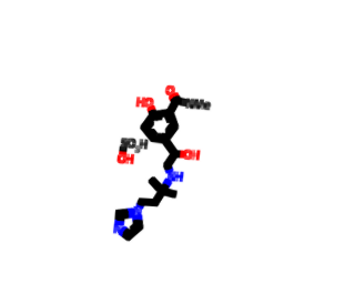 CNC(=O)c1cc(C(O)CNC(C)(C)CCn2ccnc2)ccc1O.O=S(=O)(O)O